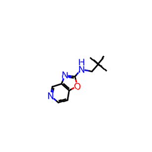 CC(C)(C)CNc1nc2cnccc2o1